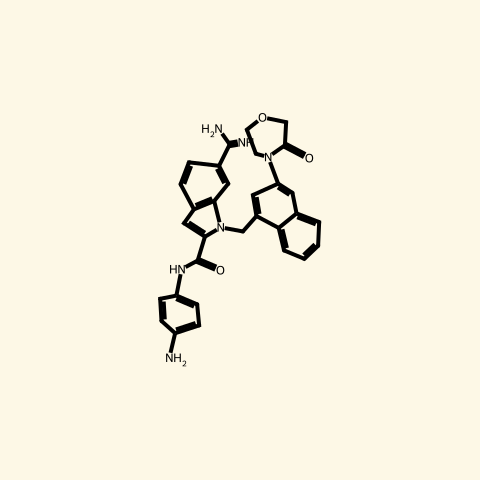 N=C(N)c1ccc2cc(C(=O)Nc3ccc(N)cc3)n(Cc3cc(N4CCOCC4=O)cc4ccccc34)c2c1